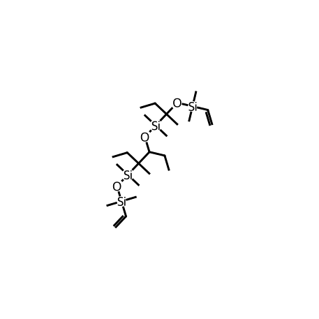 C=C[Si](C)(C)OC(C)(CC)[Si](C)(C)OC(CC)C(C)(CC)[Si](C)(C)O[Si](C)(C)C=C